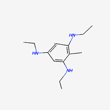 CCNc1[c]c(NCC)c(C)c(NCC)c1